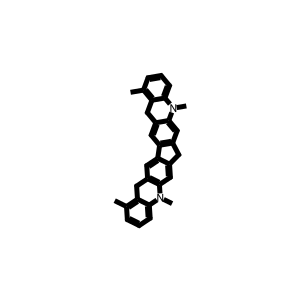 Cc1cccc2c1Cc1cc3c(cc1N2C)Cc1cc2c(cc1-3)Cc1c(C)cccc1N2C